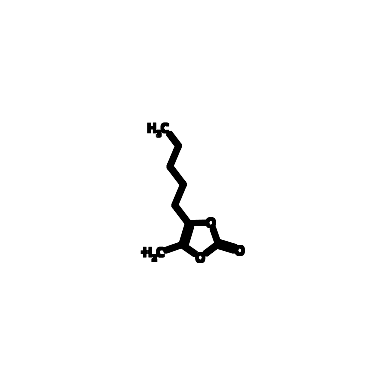 [CH2]c1oc(=O)oc1CCCCC